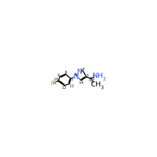 C[C@H](N)c1cnn(-c2ccc(F)cc2)c1